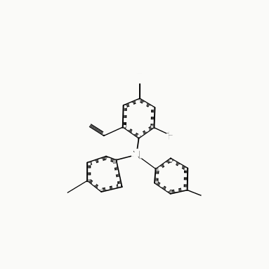 C=Cc1cc(F)cc(F)c1N(c1ccc(C)cc1)c1ccc(C)cc1